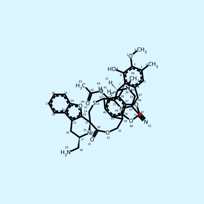 COc1c(C)cc2c(c1O)[C@@H]1[C@@H]3[C@@H]4SC[C@]5(N[C@@H](CN)Cc6c5oc5ccccc65)C(=O)OCC(c5c6c(c(C)c(OC(C)=O)c54)OCO6)N3C(C#N)(C2)CN1C